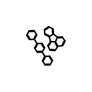 c1ccc(-c2ccc(-c3ccccc3)cc2)cc1.c1ccc2c(c1)-c1cccc3cccc-2c13